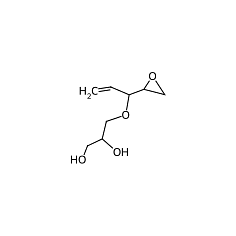 C=CC(OCC(O)CO)C1CO1